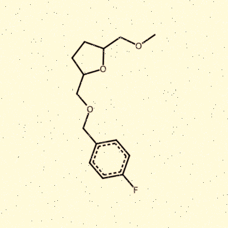 COCC1CCC(COCc2ccc(F)cc2)O1